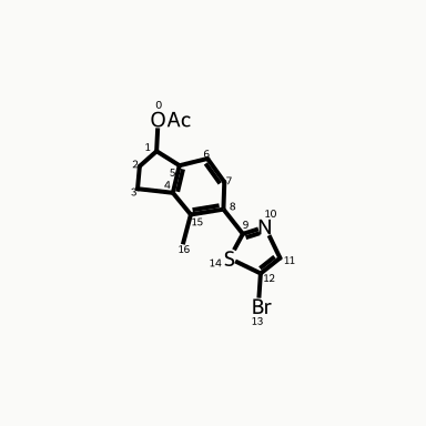 CC(=O)OC1CCc2c1ccc(-c1ncc(Br)s1)c2C